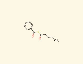 CCCCC(=O)SC(=O)c1ccccc1